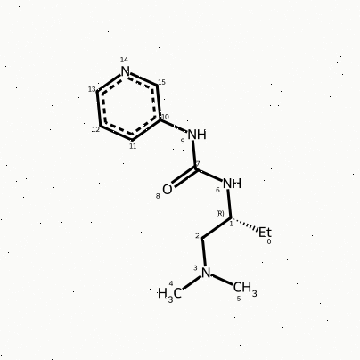 CC[C@H](CN(C)C)NC(=O)Nc1cccnc1